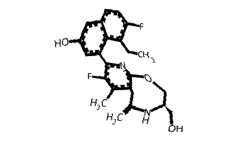 C=C1N[C@H](CO)COc2nc(-c3cc(O)cc4ccc(F)c(CC)c34)c(F)c(C)c21